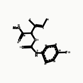 CC=C(C)C(OC(=O)Nc1ccc(F)cc1)C(=O)OC